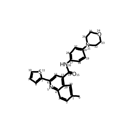 Cc1ccc2nc(-c3cccs3)cc(C(=O)Nc3ccc(N4CCOCC4)cc3)c2c1